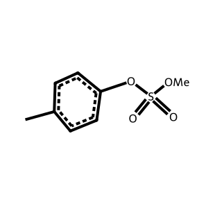 COS(=O)(=O)Oc1ccc(C)cc1